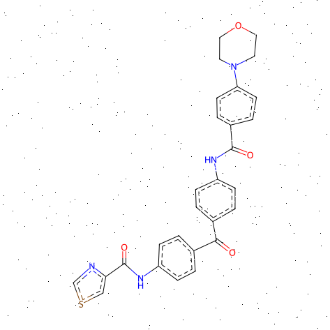 O=C(Nc1ccc(C(=O)c2ccc(NC(=O)c3cscn3)cc2)cc1)c1ccc(N2CCOCC2)cc1